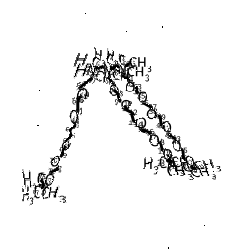 CC(C)(CN(CCOCCOCCCOCCOCCOC(C)(C)C)C(C)(C)CN(CCOCCOCCOCCOCCOCCOC(C)(C)C)C(C)(C)C)NCCOCCOCCCCOCCOCCOC(C)(C)C